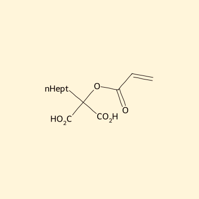 C=CC(=O)OC(CCCCCCC)(C(=O)O)C(=O)O